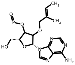 C/C=C(\C)COC1C(OP=O)[C@@H](CO)O[C@H]1n1cnc2c(N)ncnc21